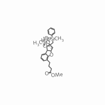 COC(=O)CCCc1cccc2c1OC1CC(C[Si](C)(C)c3ccccc3)(O[Si](C)(C)C(C)(C)C)CC21